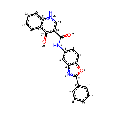 O=C(Nc1ccc2oc(-c3ccccc3)nc2c1)c1c[nH]c2ccccc2c1=O